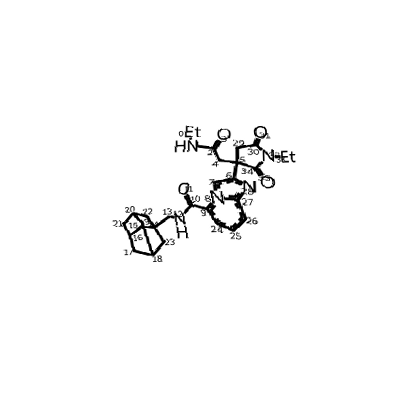 CCNC(=O)CC1(c2cn3c(C(=O)NCC45CC6CC(CC(C6)C4)C5)cccc3n2)CC(=O)N(CC)C1=O